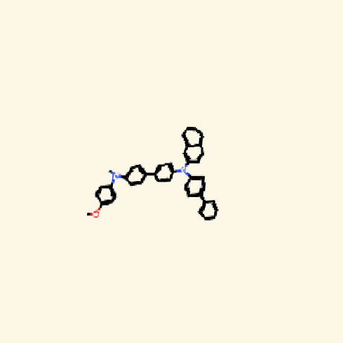 COc1ccc(N(C)c2ccc(-c3ccc(N(c4ccc(-c5ccccc5)cc4)c4ccc5ccccc5c4)cc3)cc2)cc1